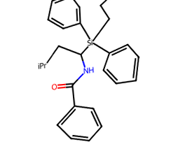 CC(C)CC(NC(=O)c1ccccc1)[Si](CCC(=O)O)(c1ccccc1)c1ccccc1